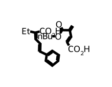 C=C(C=CC(=O)O)C(=O)OCCCC.CCC(=CC=Cc1ccccc1)C(=O)O